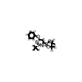 CC(C)(C)[S@@+]([O-])NC(CCOc1ccccc1)B1OC(C)(C)C(C)(C)O1